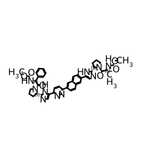 COC(=O)N[C@@H](C)C(=O)N1CCC[C@H]1c1ncc(-c2ccc3cc(-c4ccc(-c5cnc([C@@H]6CCCN6C(=O)[C@H](NC(=O)OC)c6ccccc6)[nH]5)nn4)ccc3c2)[nH]1